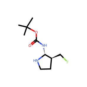 CC(C)(C)OC(=O)N[C@H]1NCC[C@@H]1CF